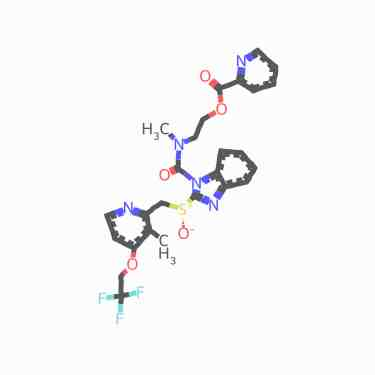 Cc1c(OCC(F)(F)F)ccnc1C[S@@+]([O-])c1nc2ccccc2n1C(=O)N(C)CCOC(=O)c1ccccn1